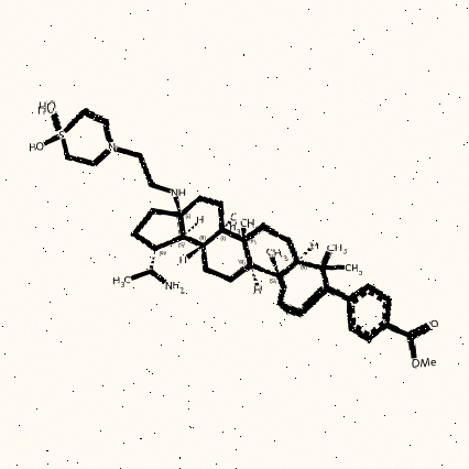 COC(=O)c1ccc(C2=CC[C@]3(C)[C@H]4CC[C@@H]5[C@H]6[C@H](C(C)N)CC[C@]6(NCCN6CCS(O)(O)CC6)CC[C@@]5(C)[C@]4(C)CC[C@H]3C2(C)C)cc1